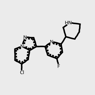 Fc1cc(-c2cnn3ccc(Cl)cc23)nc(C2CCCNC2)c1